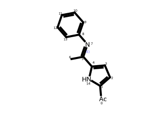 CC(=O)c1ccc(/C(C)=N/c2ccccc2)[nH]1